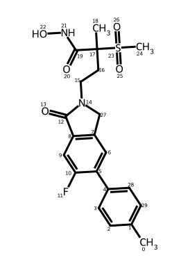 Cc1ccc(-c2cc3c(cc2F)C(=O)N(CCC(C)(C(=O)NO)S(C)(=O)=O)C3)cc1